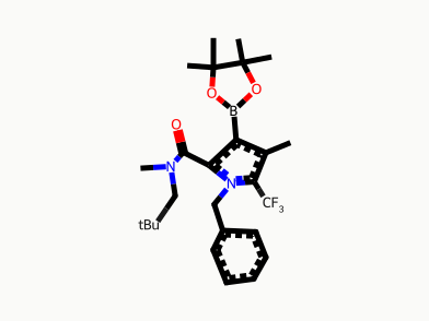 Cc1c(B2OC(C)(C)C(C)(C)O2)c(C(=O)N(C)CC(C)(C)C)n(Cc2ccccc2)c1C(F)(F)F